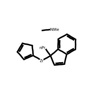 CCC[C]1([Zr][C]2=CC=CC2)C=Cc2ccccc21.CNC